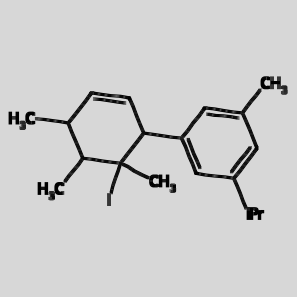 Cc1cc(C(C)C)cc(C2C=CC(C)C(C)C2(C)I)c1